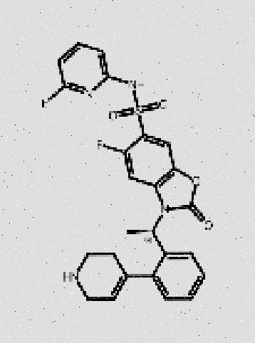 C[C@H](c1ccccc1C1=CCNCC1)n1c(=O)oc2cc(S(=O)(=O)Nc3cccc(F)n3)c(F)cc21